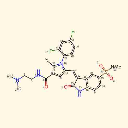 CCN(CC)CCNC(=O)c1cc(C=C2C(=O)Nc3ccc(S(=O)(=O)NC)cc32)n(-c2ccc(F)cc2F)c1C